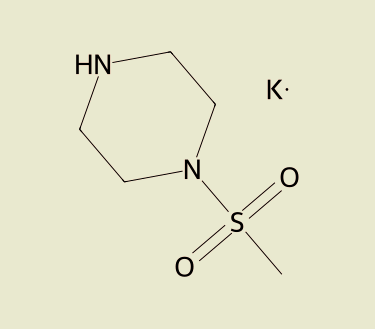 CS(=O)(=O)N1CCNCC1.[K]